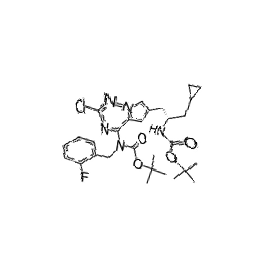 CC(C)(C)OC(=O)N[C@H](Cc1cc2c(N(Cc3ccccc3F)C(=O)OC(C)(C)C)nc(Cl)nn2c1)CC1CC1